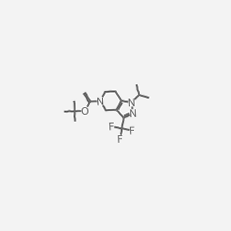 C=C(OC(C)(C)C)N1CCc2c(c(C(F)(F)F)nn2C(C)C)C1